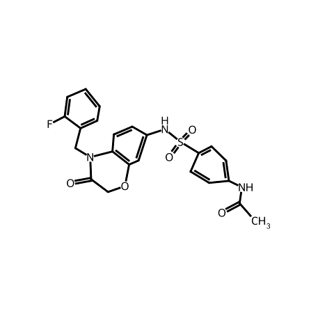 CC(=O)Nc1ccc(S(=O)(=O)Nc2ccc3c(c2)OCC(=O)N3Cc2ccccc2F)cc1